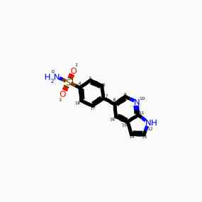 NS(=O)(=O)c1ccc(-c2cnc3[nH]ccc3c2)cc1